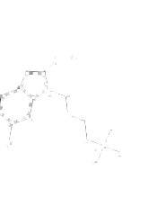 CCOC(=O)c1cc2ccc(Br)cc2n1COCC[Si](C)(C)C